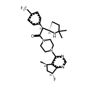 C[C@@H]1C[C@@H](F)c2ncnc(N3CCN(C(=O)[C@@H](c4ccc(C(F)(F)F)cc4)[C@@H]4CCC(C)(C)N4)CC3)c21